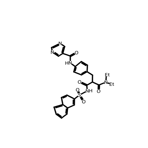 CCN(CC)C(=O)C(Cc1ccc(NC(=O)c2cncnc2)cc1)C(=O)NS(=O)(=O)c1ccc2ccccc2c1